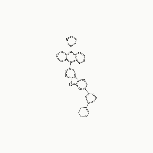 C1=CCCC(c2cccc(-c3ccc4c(c3)oc3ccc(-c5c6ccccc6c(-c6ccccc6)c6ccccc56)cc34)c2)=C1